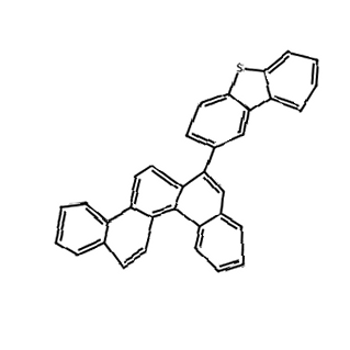 c1ccc2c(c1)ccc1c2ccc2c(-c3ccc4sc5ccccc5c4c3)cc3ccccc3c21